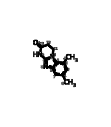 Cc1cc(C)c2c(c1)nc1n2CCC(=O)N1